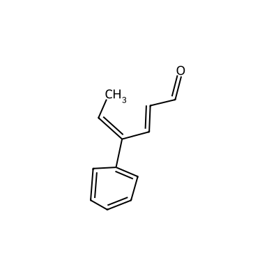 CC=C(C=CC=O)c1ccccc1